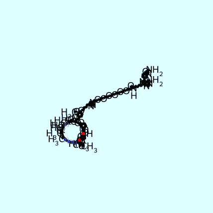 COC(=O)NC1C[C@@H]2CCC[C@@](O)(O2)C(=O)C(=O)N2CCCCC2C(=O)OC([C@H](N)CC2CCC(OCCCCc3cn(CCOCCOCCOCCOCCOCCOCCC(=O)NCCCCn4nc(-c5ccc6oc(N)nc6c5)c5c(N)ncnc54)nn3)[C@H](OC)C2)CC(=O)C(C)/C=C(\C)C(O)[C@@H](O)C(=O)C(C)CC(C)/C=C/C=C/C=C/1C